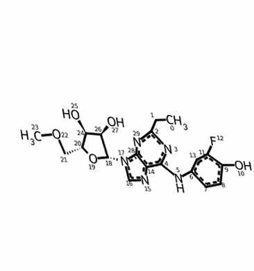 CCc1nc(Nc2ccc(O)c(F)c2)c2ncn([C@@H]3O[C@H](COC)[C@@H](O)[C@H]3O)c2n1